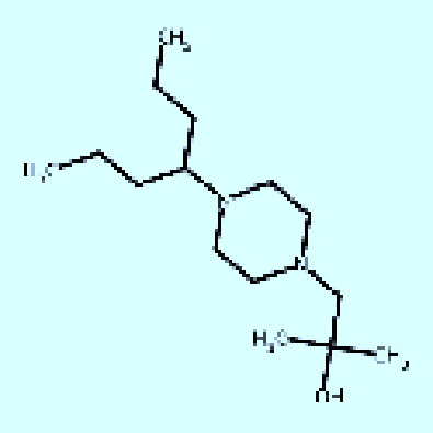 CCCC(CCC)N1CCN(CC(C)(C)O)CC1